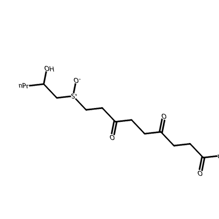 CCCCCCCCCC(=O)CCC(=O)CCC(=O)CC[S+]([O-])CC(O)CCC